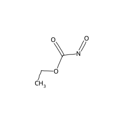 CCOC(=O)N=O